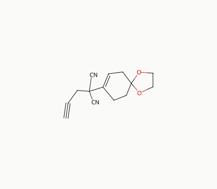 C#CCC(C#N)(C#N)C1=CCC2(CC1)OCCO2